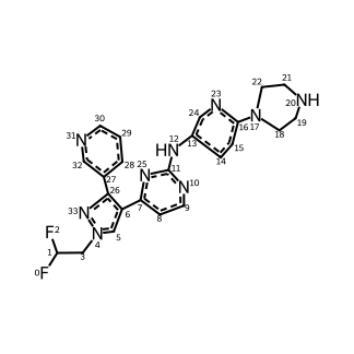 FC(F)Cn1cc(-c2ccnc(Nc3ccc(N4CCNCC4)nc3)n2)c(-c2cccnc2)n1